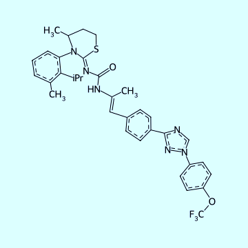 C/C(=C\c1ccc(-c2ncn(-c3ccc(OC(F)(F)F)cc3)n2)cc1)NC(=O)/N=C1\SCCC(C)N1c1cccc(C)c1C(C)C